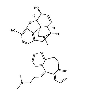 CN(C)CCC=C1c2ccccc2CCc2ccccc21.CN1CC[C@]23c4c5ccc(O)c4O[C@H]2[C@@H](O)C=C[C@H]3[C@H]1C5